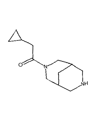 O=C(CC1CC1)N1CC2CNCC(C2)C1